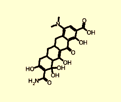 CN(C)c1cc(C(=O)O)c(O)c2c1CC1CC3CC(O)=C(C(N)=O)C(O)(O)C3C(O)=C1C2=O